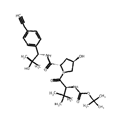 C#Cc1ccc([C@H](NC(=O)[C@@H]2C[C@@H](O)CN2C(=O)[C@@H](NC(=O)OC(C)(C)C)C(C)(C)C)C(C)(C)O)cc1